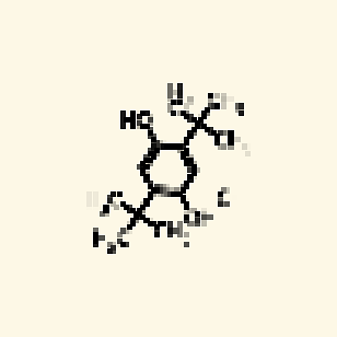 CC(C)(C)c1cc(O)c(C(C)(C)C)cc1O.[Cr]